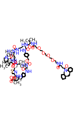 CCCCCCN(C(=O)[C@@H](NC(=O)[C@H]1CCCCN1C)[C@@H](C)CC)[C@H](C[C@@H](OC(C)=O)c1nc(C(=O)N[C@@H](Cc2ccc(NC(=O)CNC(=O)OCc3ccc(NC(=O)[C@H](CCCNC(N)=O)NC(=O)[C@@H](NC(=O)CCOCCOCCOCCOCCNC(=O)CCC(=O)N4Cc5ccccc5C#Cc5ccccc54)C(C)C)cc3)cc2)CC(C)(C)C(=O)O)cs1)C(C)C